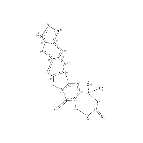 CCC1(O)CC(=O)OCc2c1cc1n(c2=O)Cc2cc3cc4[nH]cnc4cc3nc2-1